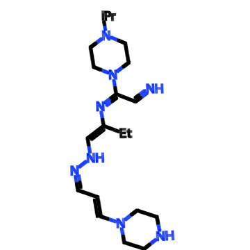 CCC(=C\N/N=C\C=C\N1CCNCC1)/N=C(\C=N)N1CCN(C(C)C)CC1